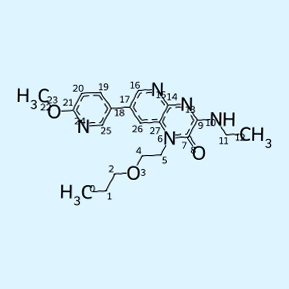 CCCOCCn1c(=O)c(NCC)nc2ncc(-c3ccc(OC)nc3)cc21